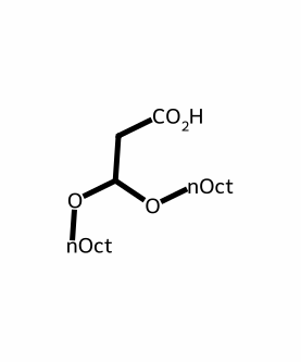 CCCCCCCCOC(CC(=O)O)OCCCCCCCC